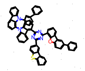 c1ccc(-c2cccc(-n3c4ccccc4c4cccc(-n5c6ccccc6c6c(-c7nc(-c8ccc9sc%10ccccc%10c9c8)nc(-c8cccc9c8oc8ccc(-c%10ccccc%10)cc89)n7)cccc65)c43)c2)cc1